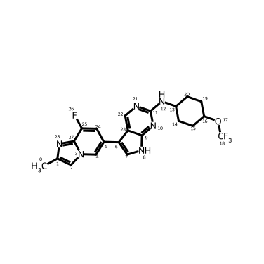 Cc1cn2cc(-c3c[nH]c4nc(NC5CCC(OC(F)(F)F)CC5)ncc34)cc(F)c2n1